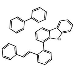 C(=Cc1ccccc1-c1cccc2c1[nH]c1ccccc12)c1ccccc1.c1ccc(-c2ccccc2)cc1